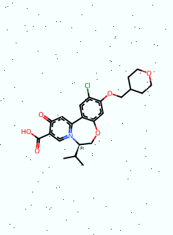 CC(C)[C@@H]1COc2cc(OCC3CCOCC3)c(Cl)cc2-c2cc(=O)c(C(=O)O)cn21